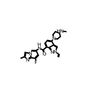 C=Cn1cc2c(N3CCC(NC)CC3)ccc(C(=O)Nc3cc(F)c4nc(C)cn4c3)c2n1